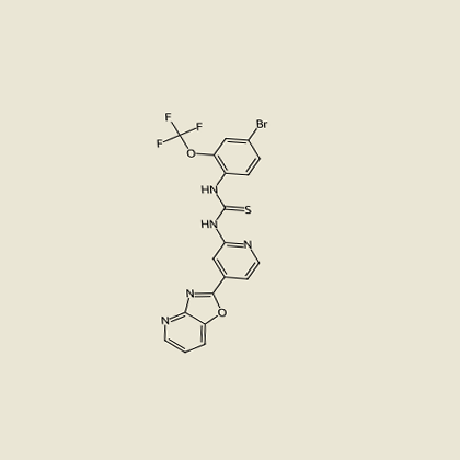 FC(F)(F)Oc1cc(Br)ccc1NC(=S)Nc1cc(-c2nc3ncccc3o2)ccn1